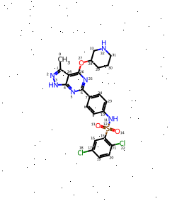 Cc1n[nH]c2nc(-c3ccc(NS(=O)(=O)c4cc(Cl)ccc4Cl)cc3)nc(OC3CCCNC3)c12